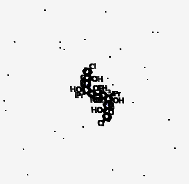 Cc1cc2c(c(O)c1-c1c(C)cc3c(c1O)/C(=C/c1c(O)c4cc(Cl)ccc4oc1=O)C(=O)C(O)=C3C(C)C)/C(=C/c1c(O)c3cc(Cl)ccc3oc1=O)C(=O)C(O)=C2C(C)C